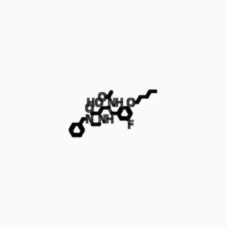 CCCCCOc1cc(F)cc(C[C@H](NC(C)=O)[C@H](O)[C@@H]2NCCN(Cc3ccccc3)C2=O)c1